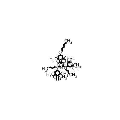 CCCCCCOC1CC(C)(C)N(c2nc(N(CCCC)C3CC(C)(C)NC(C)(C)C3)nc(N(CCCC)C3CC(C)(C)NC(C)(C)C3)n2)C(C)(C)C1